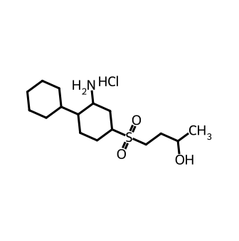 CC(O)CCS(=O)(=O)C1CCC(C2CCCCC2)C(N)C1.Cl